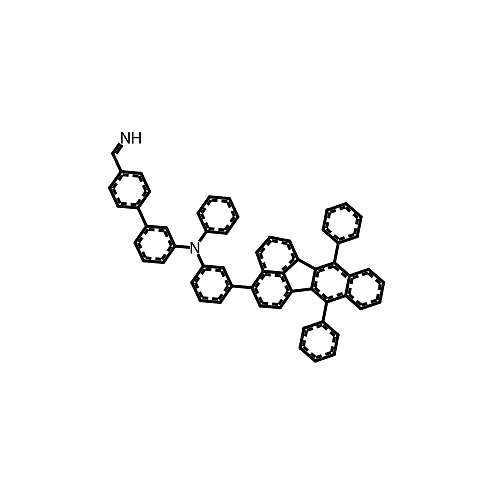 N=Cc1ccc(-c2cccc(N(c3ccccc3)c3cccc(-c4ccc5c6c(cccc46)-c4c-5c(-c5ccccc5)c5ccccc5c4-c4ccccc4)c3)c2)cc1